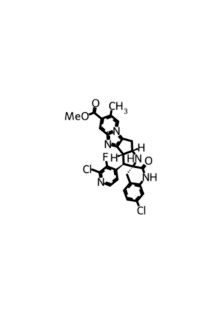 COC(=O)c1cc2nc3c(n2cc1C)C[C@@H]1N[C@]2(Cc4ccc(Cl)cc4NC2=O)[C@@H](c2ccnc(Cl)c2F)[C@H]31